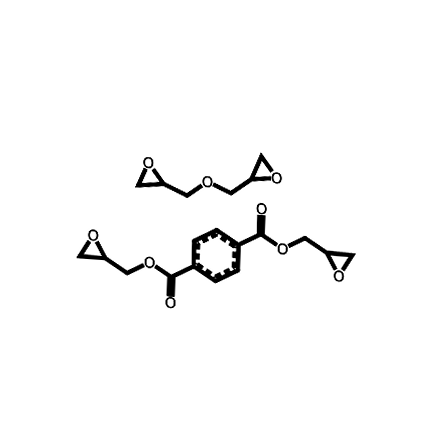 C(OCC1CO1)C1CO1.O=C(OCC1CO1)c1ccc(C(=O)OCC2CO2)cc1